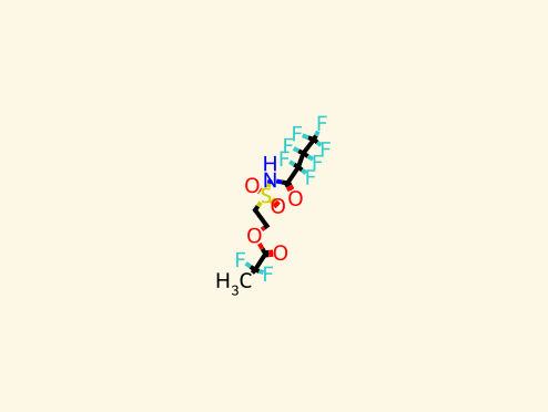 CC(F)(F)C(=O)OCCS(=O)(=O)NC(=O)C(F)(F)C(F)(F)C(F)(F)F